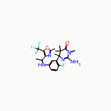 Cc1nc(C(C)Nc2ccc(F)c(C3(C)N=C(N)N(C)C(=O)C3(C)C)c2)c(C(F)(F)F)o1